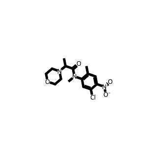 Cc1cc([N+](=O)[O-])c(Cl)cc1N(C)C(=O)C(C)N1CCOCC1